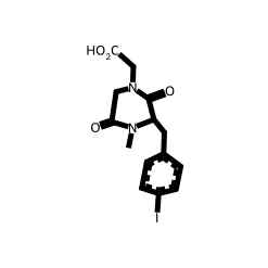 CN1C(=O)CN(CC(=O)O)C(=O)C1Cc1ccc(I)cc1